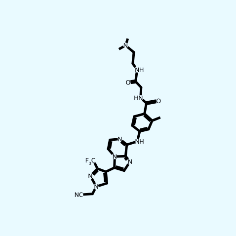 Cc1cc(Nc2nccn3c(-c4cn(CC#N)nc4C(F)(F)F)cnc23)ccc1C(=O)NCC(=O)NCCN(C)C